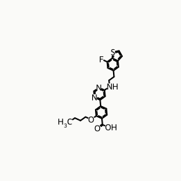 CCCCOc1cc(-c2cc(NCCc3cc(F)c4sccc4c3)ncn2)ccc1C(=O)O